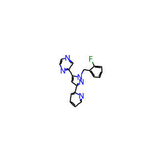 Fc1ccccc1Cn1nc(-c2ccccn2)cc1-c1cnccn1